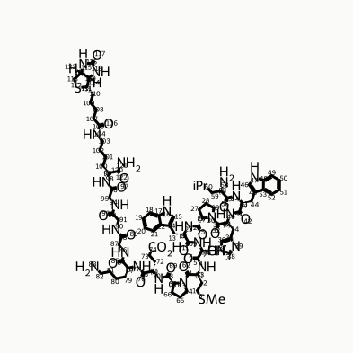 CSCC[C@H](NC(=O)[C@H](C)NC(=O)[C@H](Cc1c[nH]c2ccccc12)NC(=O)[C@@H]1CCCN1C(=O)[C@H](Cc1c[nH]cn1)NC(=O)[C@H](Cc1c[nH]c2ccccc12)NC(=O)[C@@H](N)CC(C)C)C(=O)N1CCC[C@H]1C(=O)N[C@@H](CCC(=O)O)C(=O)N[C@@H](CCCCN)C(=O)NCC(=O)NCC(=O)NCC(=O)N[C@@H](CCCCNC(=O)CCCC[C@@H]1SC[C@@H]2NC(=O)N[C@@H]21)C(N)=O